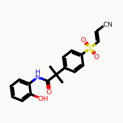 CC(C)(C(=O)Nc1ccccc1O)c1ccc(S(=O)(=O)C=CC#N)cc1